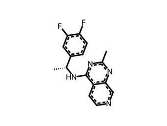 Cc1nc(N[C@H](C)c2ccc(F)c(F)c2)c2ccncc2n1